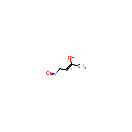 C/C(O)=C/CN=O